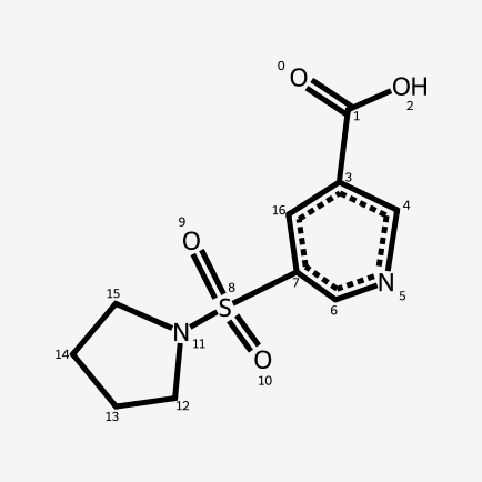 O=C(O)c1cncc(S(=O)(=O)N2CCCC2)c1